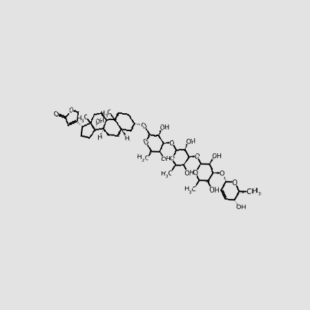 CC1OC(O[C@H]2CCC3(C)C4CCC5(C)[C@@H](C6=CC(=O)OC6)CC[C@]5(O)[C@@H]4CC[C@H]3C2)[C@@H](O)[C@@H](OC2OC(C)C(O)[C@H](OC3OC(C)C(O)[C@H](O[C@H]4C=C[C@@H](O)C(C)O4)[C@@H]3O)[C@@H]2O)C1O